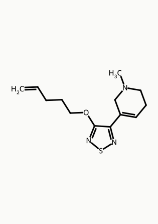 C=CCCCOc1nsnc1C1=CCCN(C)C1